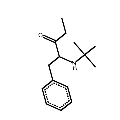 CCC(=O)C(Cc1ccccc1)NC(C)(C)C